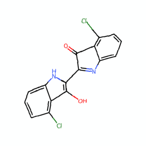 O=C1C(c2[nH]c3cccc(Cl)c3c2O)=Nc2cccc(Cl)c21